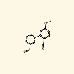 COc1ccc(C#N)c(-c2cccc(C=O)c2)c1